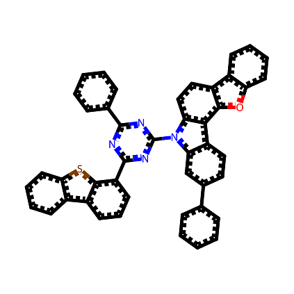 c1ccc(-c2ccc3c4c5oc6ccccc6c5ccc4n(-c4nc(-c5ccccc5)nc(-c5cccc6c5sc5ccccc56)n4)c3c2)cc1